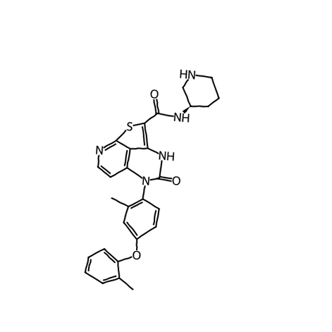 Cc1ccccc1Oc1ccc(N2C(=O)Nc3c(C(=O)N[C@@H]4CCCNC4)sc4nccc2c34)c(C)c1